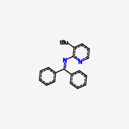 CC(C)(C)c1cccnc1N=C(c1ccccc1)c1ccccc1